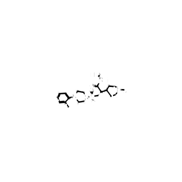 Cc1ccccc1N1CCN(S(=O)(=O)C[C@@H](C(=O)NO)C2CCN(C)CC2)CC1